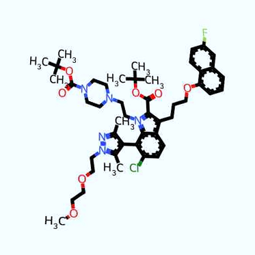 COCCOCCn1nc(C)c(-c2c(Cl)ccc3c(CCCOc4cccc5cc(F)ccc45)c(C(=O)OC(C)(C)C)n(CCN4CCN(C(=O)OC(C)(C)C)CC4)c23)c1C